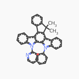 CC1(C)c2ccccc2-c2c1c1c3ccccc3n(-c3ccccc3)c1c1c2c2ccccc2n1-c1ccccn1